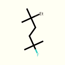 CCC(C)(C)CCC(C)(C)F